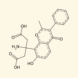 Cc1oc2c(C(N)(CC(=O)O)CC(=O)O)c(O)ccc2c(=O)c1-c1ccccc1